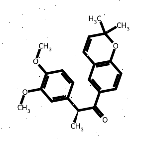 COc1ccc([C@H](C)C(=O)c2ccc3c(c2)C=CC(C)(C)O3)cc1OC